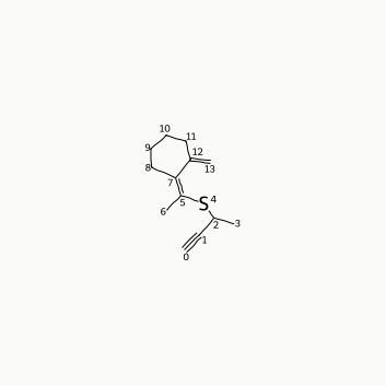 C#CC(C)S/C(C)=C1/CCCCC1=C